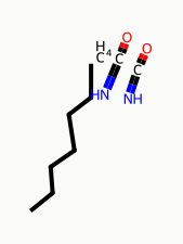 C.CCCCCCC.N=C=O.N=C=O